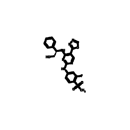 CS(=O)(=O)c1ccc(Nc2ncc(-c3nnco3)c(N[C@H](CO)c3ccccc3)n2)cc1F